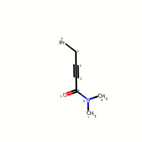 CC(C)CC#CC(=O)N(C)C